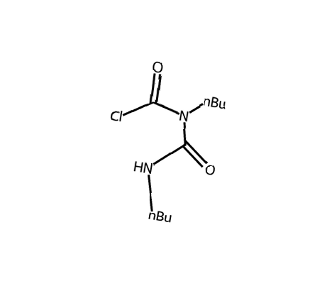 CCCCNC(=O)N(CCCC)C(=O)Cl